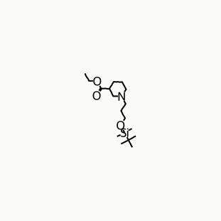 CCOC(=O)C1CCCN(CCCO[Si](C)(C)C(C)(C)C)C1